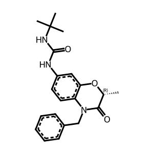 C[C@H]1Oc2cc(NC(=O)NC(C)(C)C)ccc2N(Cc2ccccc2)C1=O